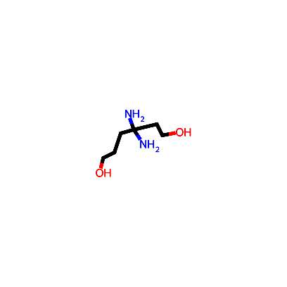 NC(N)(CCO)CCCO